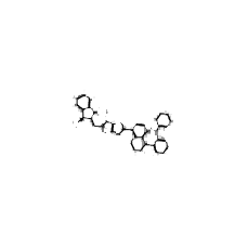 O=C1C(=Cc2cc3sc(-c4ccc5c6c(cccc46)-c4ccccc4N5c4ccccc4)cc3s2)C(=O)c2ccccc21